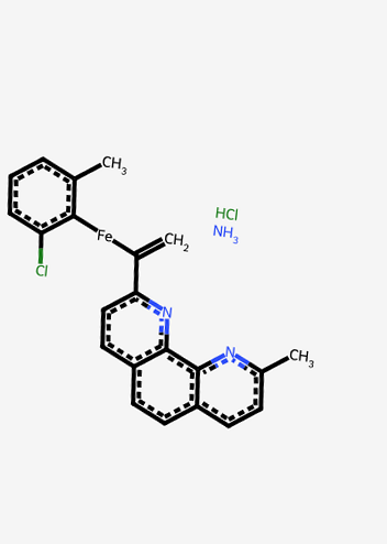 C=[C]([Fe][c]1c(C)cccc1Cl)c1ccc2ccc3ccc(C)nc3c2n1.Cl.N